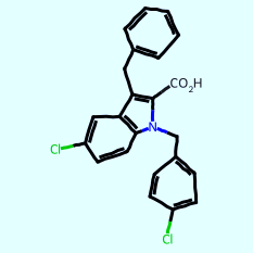 O=C(O)c1c(Cc2ccccc2)c2cc(Cl)ccc2n1Cc1ccc(Cl)cc1